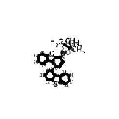 CC1(C)OB(c2ccc(-c3cccc4sc5ccccc5c34)c3c2oc2ccccc23)OC1(C)C